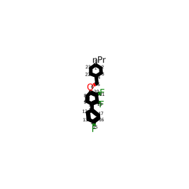 CCCC1CCC(COc2ccc(-c3ccc(F)cc3)c(F)c2F)CC1